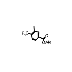 COC(=O)c1ccc(C(F)(F)F)c(C)c1